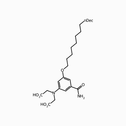 CCCCCCCCCCCCCCCCCCOc1cc(C(N)=O)cc(N(CC(=O)O)CC(=O)O)c1